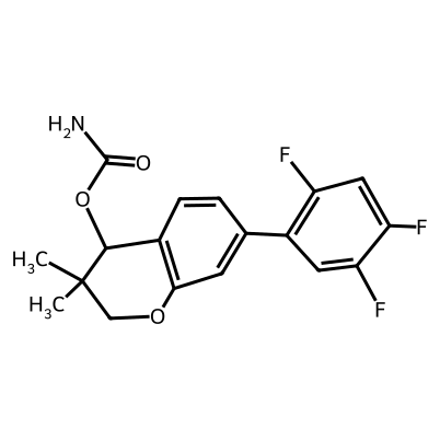 CC1(C)COc2cc(-c3cc(F)c(F)cc3F)ccc2C1OC(N)=O